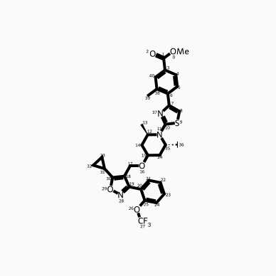 COC(=O)c1ccc(-c2csc(N3[C@H](C)CC(OCc4c(-c5ccccc5OC(F)(F)F)noc4C4CC4)C[C@H]3I)n2)c(C)c1